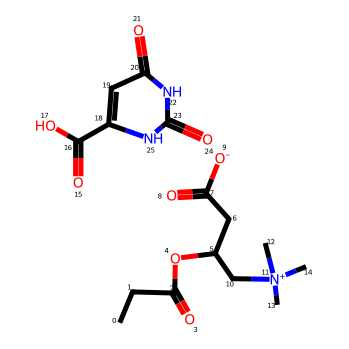 CCC(=O)OC(CC(=O)[O-])C[N+](C)(C)C.O=C(O)c1cc(=O)[nH]c(=O)[nH]1